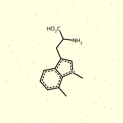 Cc1cccc2c(CC(N)C(=O)O)cn(C)c12